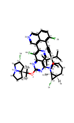 [2H]C([2H])(Oc1nc(N2CCCC[C@H]3[C@H](F)[C@H]32)c2cnc(-c3cncc4ccc(F)c(C#C[Si](C(C)C)(C(C)C)C(C)C)c34)c(F)c2n1)[C@@]12CCCN1C[C@H](F)C2